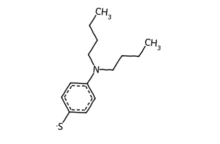 CCCCN(CCCC)c1ccc([S])cc1